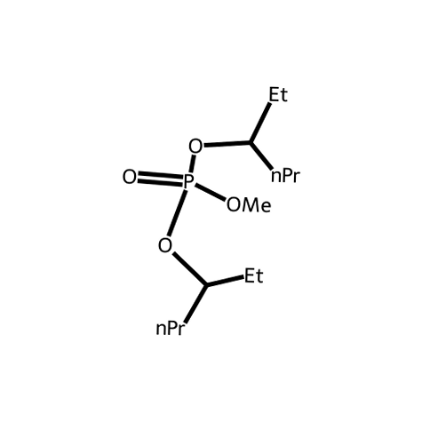 CCCC(CC)OP(=O)(OC)OC(CC)CCC